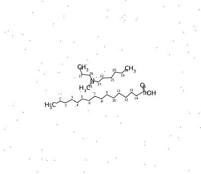 CCCCCCCCCCCCCCCC(=O)O.CCCCCCN(C)CCC